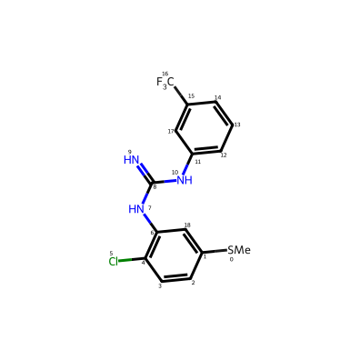 CSc1ccc(Cl)c(NC(=N)Nc2cccc(C(F)(F)F)c2)c1